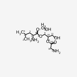 CC(C)C[C@H](N)C(=O)OCC(CO)OC(=O)CN.CO